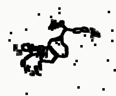 CCOC(=O)C(OC)c1ccc(CC(C)NC(=O)C(F)(F)F)c(OC)c1